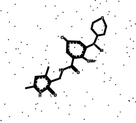 CCN(c1cc(Cl)cc(C(=O)NCc2c(C)cc(C)[nH]c2=O)c1OC)C1CCOCC1